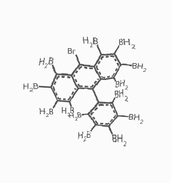 Bc1c(B)c(B)c(-c2c3c(B)c(B)c(B)c(B)c3c(Br)c3c(B)c(B)c(B)c(B)c23)c(B)c1B